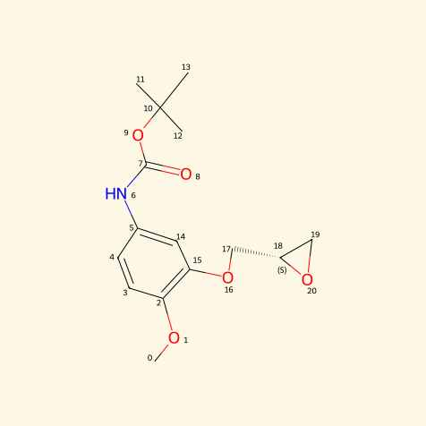 COc1ccc(NC(=O)OC(C)(C)C)cc1OC[C@@H]1CO1